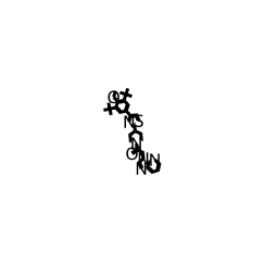 COc1c(C(C)(C)C)cc(-c2csc(C3CCN(C(=O)Cn4cnc5cccnc54)CC3)n2)cc1C(C)(C)C